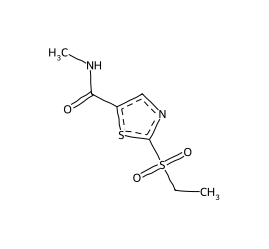 CCS(=O)(=O)c1ncc(C(=O)NC)s1